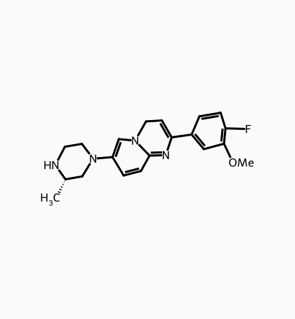 COc1cc(C2=CCN3C=C(N4CCN[C@@H](C)C4)C=CC3=N2)ccc1F